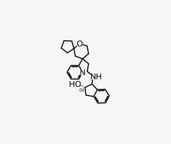 O[C@H]1Cc2ccccc2C1NCCC1(c2ccccn2)CCOC2(CCCC2)C1